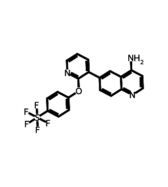 Nc1ccnc2ccc(-c3cccnc3Oc3ccc(S(F)(F)(F)(F)F)cc3)cc12